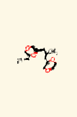 CC(C)C[C@H]1COCC(CC(C)C[C@@H]2COCCO2)O1